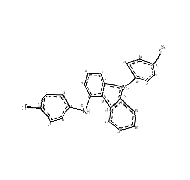 Fc1ccc(Nc2cccc3c2c2ccccc2n3-c2ccc(F)cc2)cc1